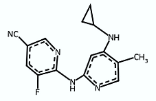 Cc1cnc(Nc2ncc(C#N)cc2F)cc1NC1CC1